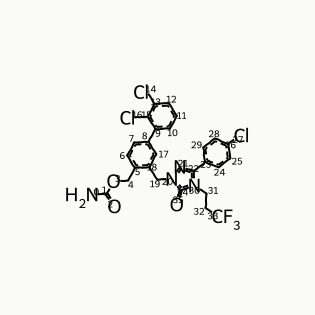 NC(=O)OCc1ccc(-c2cccc(Cl)c2Cl)cc1Cn1nc(-c2ccc(Cl)cc2)n(CCC(F)(F)F)c1=O